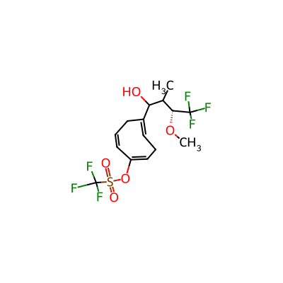 CO[C@H](C(C)C(O)/C1=C\C/C=C(OS(=O)(=O)C(F)(F)F)\C=C/C1)C(F)(F)F